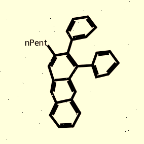 CCCCCc1cc2cc3ccccc3cc2c(-c2ccccc2)c1-c1ccccc1